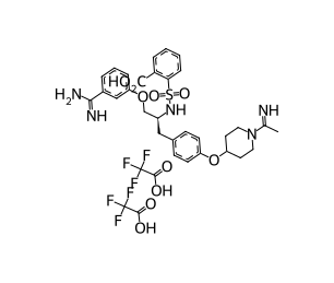 CC(=N)N1CCC(Oc2ccc(C[C@@H](COc3cccc(C(=N)N)c3)NS(=O)(=O)c3ccccc3C(=O)O)cc2)CC1.O=C(O)C(F)(F)F.O=C(O)C(F)(F)F